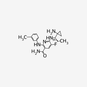 CC[C@@H](Nc1nc(Nc2cccc(C)c2)c(C(N)=O)cc1F)C1(N)CC1